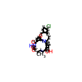 C[C@@H]1/C=C/[C@H](O)[C@@H]2CC[C@H]2CN2CCCCc3cc(Cl)ccc3COc3ccc(cc32)C(=O)NS(=O)(=O)C1